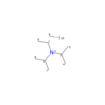 CCN(C(C)C)C(C)C.CI